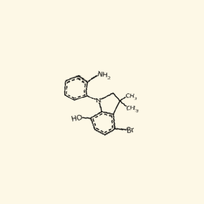 CC1(C)CN(c2ccccc2N)c2c(O)ccc(Br)c21